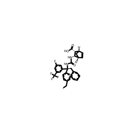 O=C(N[C@@H]1[C@H](C(=O)O)[C@@H]2C=C[C@H]1C2)N[C@@](Cc1ccccc1)(c1cc(F)cc(C(F)(F)F)c1)c1ccc(CI)cn1